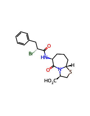 O=C(N[C@H]1CCC[C@@H]2SC[C@@H](C(=O)O)N2C1=O)[C@H](Br)Cc1ccccc1